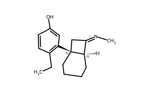 CCc1ccc(O)cc1[C@]12CCCC[C@@H]1/C(=N\C)C2